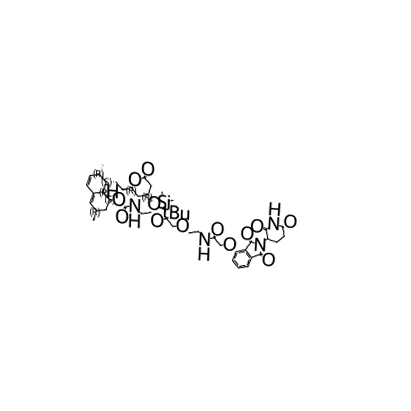 C[C@H]1C=C2C=C[C@H](C)[C@H](CC[C@@H]3C[C@@H](O[Si](C)(C)C(C)(C)C)CC(=O)O3)[C@H]2[C@@H](OC(=O)NCCOCCOCCNC(=O)COc2cccc3c2C(=O)N(C2CCC(=O)NC2=O)C3=O)C1